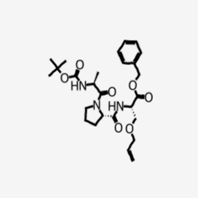 C=CCOC[C@H](NC(=O)[C@@H]1CCCN1C(=O)[C@H](C)NC(=O)OC(C)(C)C)C(=O)OCc1ccccc1